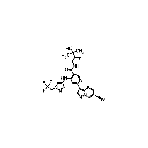 CC(C)(O)C(F)CNC(=O)c1cnc(-c2cnn3cc(C#N)cnc23)cc1Nc1cnn(CC(F)(F)F)c1